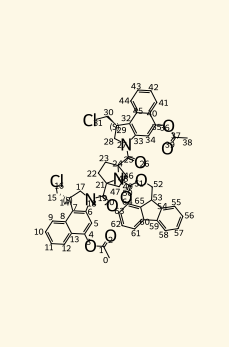 CC(=O)Oc1cc2c(c3ccccc13)[C@H](CCl)CN2C(=O)C12CCC(C(=O)N3C[C@@H](CCl)c4c3cc(OC(C)=O)c3ccccc43)(CC1)N2C(=O)OCC1c2ccccc2-c2ccccc21